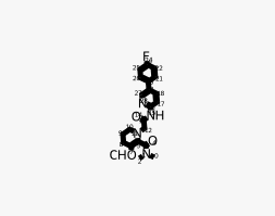 CN(C)C(=O)C1=C(C=O)CCCN1CC(=O)Nc1ccc(-c2ccc(F)cc2)cn1